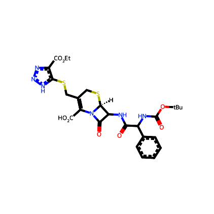 CCOC(=O)c1nn[nH]c1SCC1=C(C(=O)O)N2C(=O)C(NC(=O)C(NC(=O)OC(C)(C)C)c3ccccc3)[C@@H]2SC1